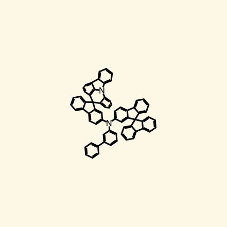 c1ccc(-c2cccc(N(c3ccc4c(c3)C3(c5ccccc5-c5ccccc53)c3ccccc3-4)c3ccc4c(c3)C3(c5ccccc5-4)c4ccccc4-n4c5ccccc5c5cccc3c54)c2)cc1